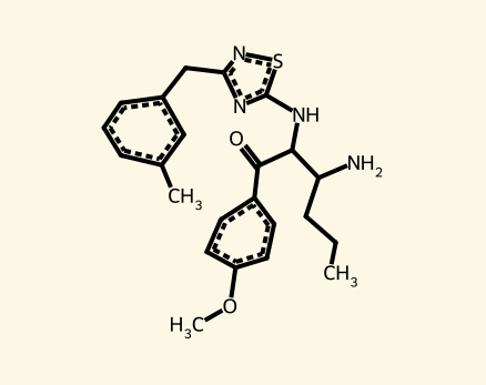 CCCC(N)C(Nc1nc(Cc2cccc(C)c2)ns1)C(=O)c1ccc(OC)cc1